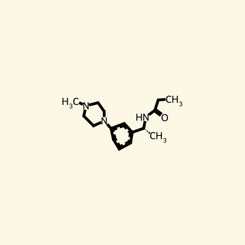 CCC(=O)N[C@H](C)c1cccc(N2CCN(C)CC2)c1